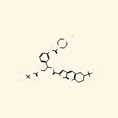 CN1CCN(C(=O)Nc2cccc(C(CNC(=O)OC(C)(C)C)NC(=O)c3cc4cc5c(nc4s3)CCC(C(C)(C)C)C5)c2)CC1